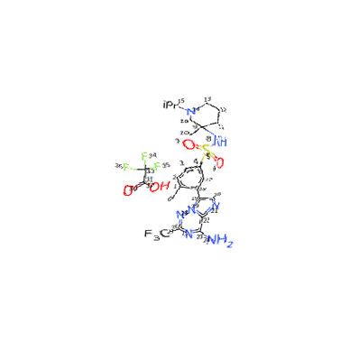 Cc1ccc(S(=O)(=O)NC2(C)CCCN(C(C)C)C2)cc1-c1cnc2c(N)nc(C(F)(F)F)nn12.O=C(O)C(F)(F)F